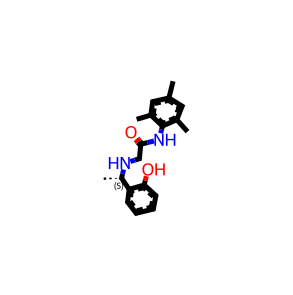 Cc1cc(C)c(NC(=O)CN[C@@H](C)c2ccccc2O)c(C)c1